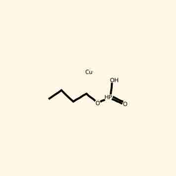 CCCCO[PH](=O)O.[Cu]